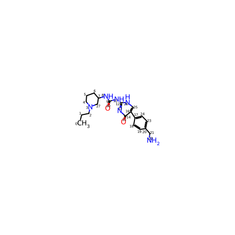 CCCN1CCCC(NC(=O)Nc2nc(=O)c(-c3ccc(CN)cc3)c[nH]2)C1